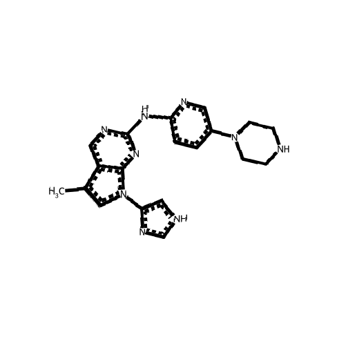 Cc1cn(-c2c[nH]cn2)c2nc(Nc3ccc(N4CCNCC4)cn3)ncc12